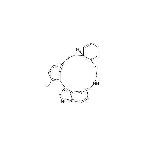 Cc1ccc2cc1-c1cnn3ccc(nc13)NCCN1CCC=C[C@H]1CO2